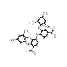 Cc1cc(C)c(Oc2cc([N+](=O)[O-])ccc2Oc2ccc([N+](=O)[O-])cc2Oc2c(C)cc(C)cc2C)c(C)c1